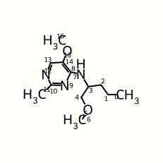 CCCC(COC)Nc1nc(C)ncc1OC